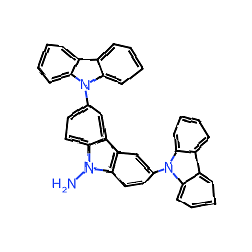 Nn1c2ccc(-n3c4ccccc4c4ccccc43)cc2c2cc(-n3c4ccccc4c4ccccc43)ccc21